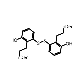 CCCCCCCCCCCCc1c(O)cccc1SSc1cccc(O)c1CCCCCCCCCCCC